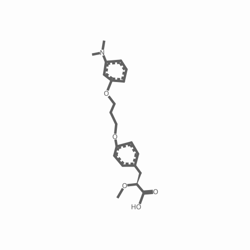 CO[C@@H](Cc1ccc(OCCCOc2cccc(N(C)C)c2)cc1)C(=O)O